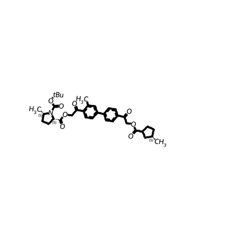 Cc1cc(-c2ccc(C(=O)COC(=O)C3CC[C@H](C)C3)cc2)ccc1C(=O)COC(=O)[C@@H]1CC[C@H](C)N1C(=O)OC(C)(C)C